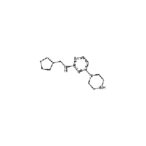 c1cc(N2CCNCC2)nc(NCC2CCCC2)n1